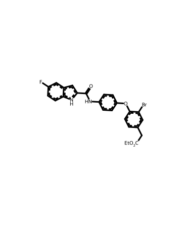 CCOC(=O)Cc1ccc(Oc2ccc(NC(=O)c3cc4cc(F)ccc4[nH]3)cc2)c(Br)c1